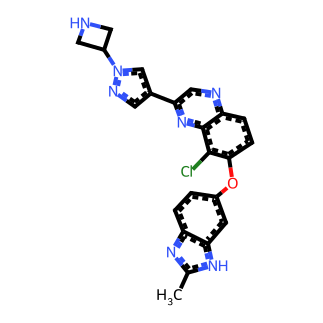 Cc1nc2ccc(Oc3ccc4ncc(-c5cnn(C6CNC6)c5)nc4c3Cl)cc2[nH]1